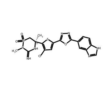 CN1C(=N)N[C@](C)(c2sc(-c3nnc(-c4ccc5[nH]cnc5c4)o3)cc2Cl)CS1(=O)=O